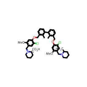 COc1cc(OCc2cccc(-c3cccc(COc4cc(OC)c(CN5CCCC[C@H]5C(=O)O)cc4Cl)c3C)c2C)c(Cl)cc1CN1CCCCC1C(=O)O